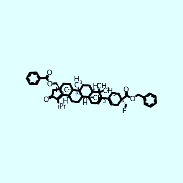 CC(C)C1=C2[C@H]3CC[C@@H]4[C@@]5(C)CC=C(C6=CC[C@](CF)(C(=O)OCc7ccccc7)CC6)C(C)(C)[C@@H]5CC[C@@]4(C)[C@]3(C)CC[C@@]2(COC(=O)c2ccccc2)CC1=O